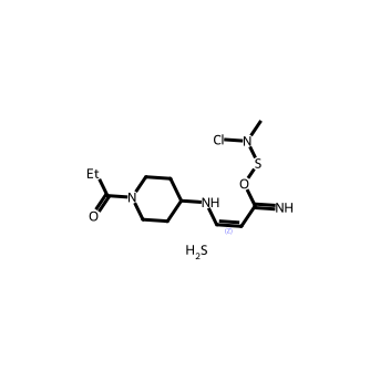 CCC(=O)N1CCC(N/C=C\C(=N)OSN(C)Cl)CC1.S